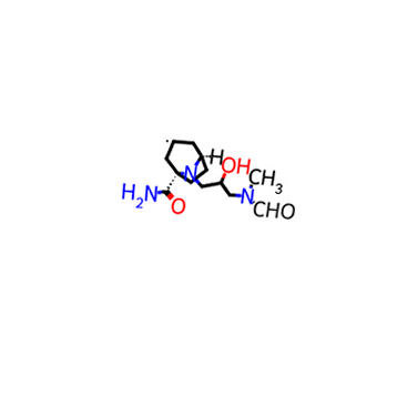 CN(C=O)CC(O)CN1[C@H]2C[CH]C[C@]1(C(N)=O)CC2